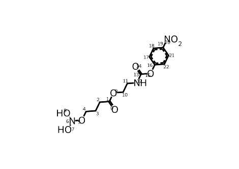 O=C(CCCON(O)O)OCCNC(=O)Oc1ccc([N+](=O)[O-])cc1